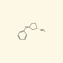 N[C@H]1CC[C@H](Oc2ccccc2)C1